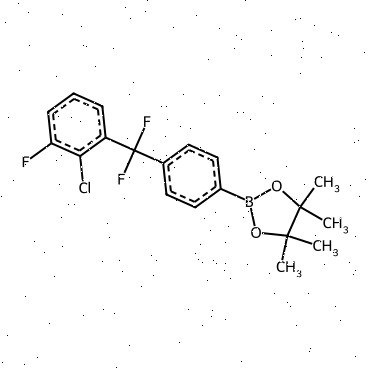 CC1(C)OB(c2ccc(C(F)(F)c3cccc(F)c3Cl)cc2)OC1(C)C